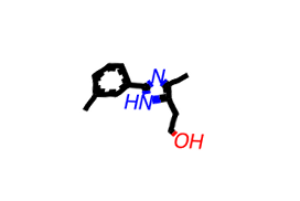 Cc1cccc(-c2nc(C)c(CCO)[nH]2)c1